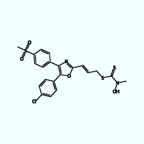 CN(O)C(=S)SCC=Cc1nc(-c2ccc(S(C)(=O)=O)cc2)c(-c2ccc(Cl)cc2)o1